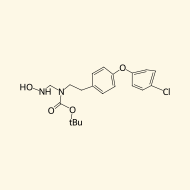 CC(C)(C)OC(=O)N(CCc1ccc(Oc2ccc(Cl)cc2)cc1)CNO